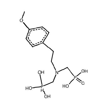 COc1ccc(CCN(CP(=O)(O)O)C[PH](O)(O)O)cc1